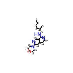 C=C/C=C\C(=C)CNc1nccc2cc(N3CCOCC3)ncc12